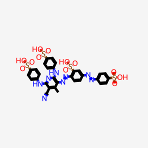 Cc1c(C#N)c(Nc2ccc(S(=O)(=O)O)cc2)nc(Nc2ccc(S(=O)(=O)O)cc2)c1/N=N/c1ccc(/N=N/c2ccc(S(=O)(=O)O)cc2)cc1S(=O)(=O)O